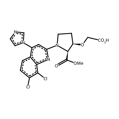 COC(=O)[C@@H]1[C@H](OCC(=O)O)CCN1c1cc(-n2ccnc2)c2ccc(Cl)c(Cl)c2n1